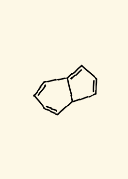 C1=CC2=CC=CC2C=C1